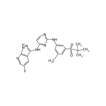 Cc1cc(Nc2nccc(Nc3n[nH]c4ncc(F)cc34)n2)cc(S(=O)(=O)C(C)(C)C)c1